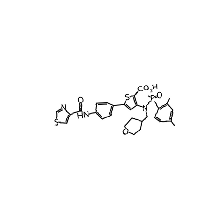 Cc1ccc(P(C)(=O)N(CC2CCOCC2)c2cc(-c3ccc(NC(=O)c4cscn4)cc3)sc2C(=O)O)c(C)c1